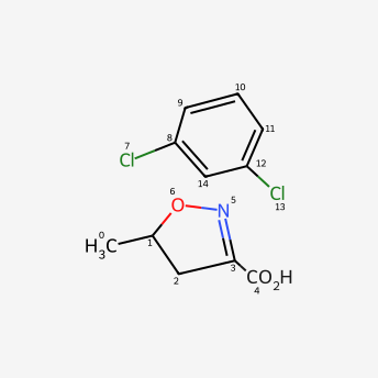 CC1CC(C(=O)O)=NO1.Clc1cccc(Cl)c1